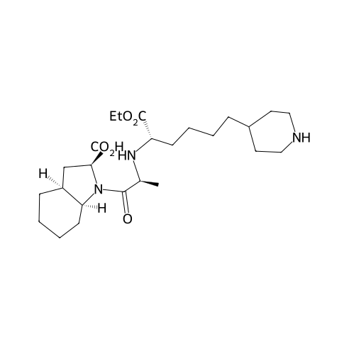 CCOC(=O)[C@H](CCCCC1CCNCC1)N[C@@H](C)C(=O)N1[C@H](C(=O)O)C[C@@H]2CCCC[C@@H]21